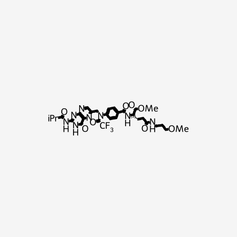 COCCCNC(=O)CC[C@H](NC(=O)c1ccc(N(Cc2cnc3nc(NC(=O)C(C)C)[nH]c(=O)c3n2)C(=O)C(F)(F)F)cc1)C(=O)OC